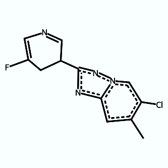 Cc1cc2nc(C3C=NC=C(F)C3)nn2cc1Cl